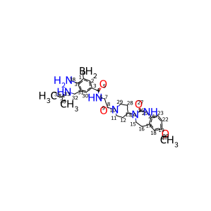 Bc1cc(C(=O)NCC(=O)N2CCC(N3CCc4cc(OC)ccc4NC3=O)CC2)cc(CNC(C)C)c1N